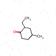 CCC1CC(C)CCC1=O